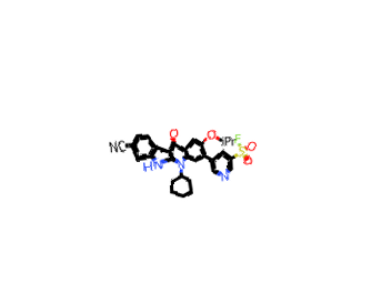 CC(C)Oc1cc2c(=O)c3c4ccc(C#N)cc4[nH]c3n(C3CCCCC3)c2cc1-c1cncc(S(=O)(=O)F)c1